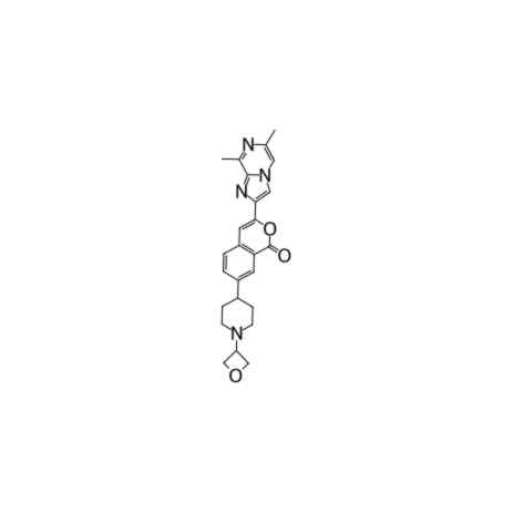 Cc1cn2cc(-c3cc4ccc(C5CCN(C6COC6)CC5)cc4c(=O)o3)nc2c(C)n1